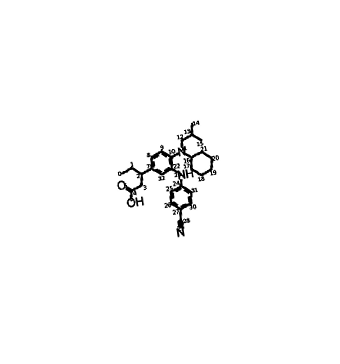 CCC(CC(=O)O)c1ccc(N(CC(C)C)C2CCCCC2)c(Nc2ccc(C#N)cc2)c1